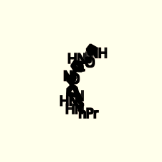 CCCNCc1nc2cc(-c3cnc(-c4ccc(NC(=O)[C@@H]5CCCN5)cc4)o3)ccc2[nH]1